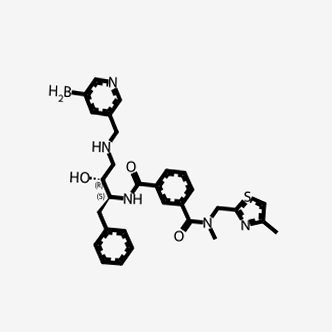 Bc1cncc(CNC[C@@H](O)[C@H](Cc2ccccc2)NC(=O)c2cccc(C(=O)N(C)Cc3nc(C)cs3)c2)c1